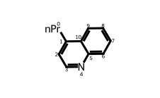 [CH2]CCc1ccnc2ccccc12